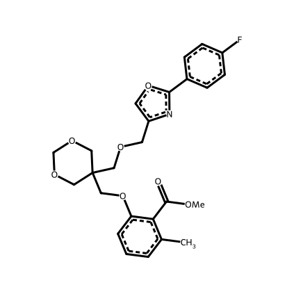 COC(=O)c1c(C)cccc1OCC1(COCc2coc(-c3ccc(F)cc3)n2)COCOC1